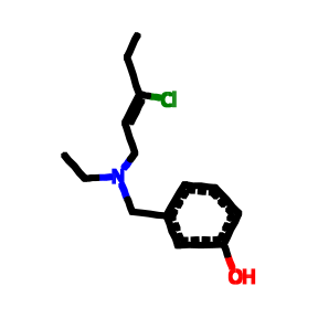 CCC(Cl)=CCN(CC)Cc1cccc(O)c1